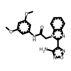 COc1cc(NC(=O)Cn2c(-c3nonc3N)nc3ccccc32)cc(OC)c1